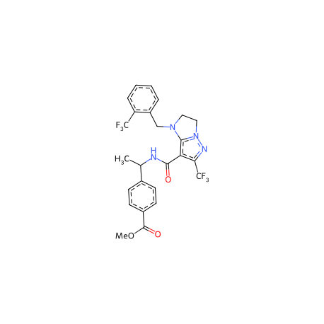 COC(=O)c1ccc(C(C)NC(=O)c2c(C(F)(F)F)nn3c2N(Cc2ccccc2C(F)(F)F)CC3)cc1